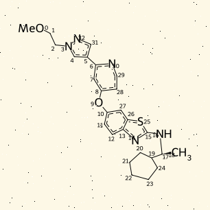 COCCn1cc(-c2cc(Oc3ccc4nc(N[C@@H](C)C5CCCCC5)sc4c3)ccn2)cn1